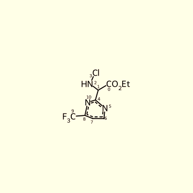 CCOC(=O)C(NCl)c1nccc(C(F)(F)F)n1